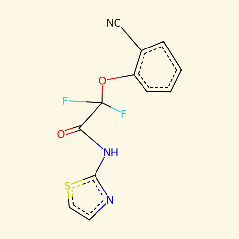 N#Cc1ccccc1OC(F)(F)C(=O)Nc1nccs1